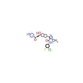 Cn1cnc(C2CC3CC(O)(C#CC(=O)N4CCNCC4)CC3C2)c1C(=O)Nc1ccc(F)c(Cl)c1